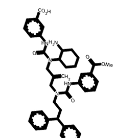 C=C(CN(CCC(c1ccccc1)c1ccccc1)C(=O)Nc1cccc(C(=O)OC)c1)CN(C(=O)Nc1cccc(C(=O)O)c1)C1CCCCC1N